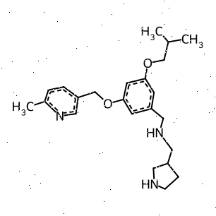 Cc1ccc(COc2cc(CNCC3CCNC3)cc(OCC(C)C)c2)cn1